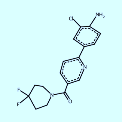 Nc1ccc(-c2ccc(C(=O)N3CCC(F)(F)CC3)cn2)cc1Cl